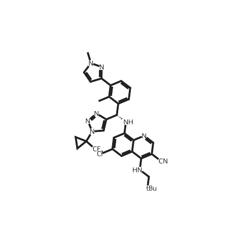 Cc1c(-c2ccn(C)n2)cccc1[C@H](Nc1cc(Cl)cc2c(NCC(C)(C)C)c(C#N)cnc12)c1cn(C2(C(F)(F)F)CC2)nn1